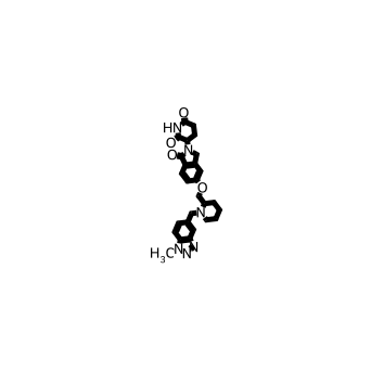 Cn1nnc2cc(CN3CCCCC3COc3ccc4c(c3)CN(C3CCC(=O)NC3=O)C4=O)ccc21